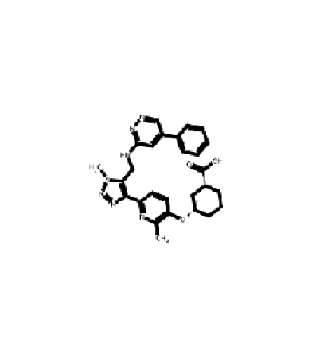 Cc1nc(-c2nnn(C)c2CNc2cc(-c3ccccc3)cnn2)ccc1O[C@H]1CCC[C@H](C(=O)O)C1